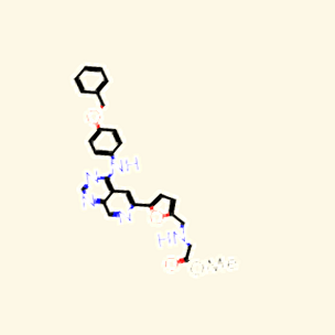 COC(=O)CNCc1ccc(-c2cc3c(Nc4ccc(OCc5ccccc5)cc4)ncnc3cn2)o1